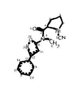 CN(C(=O)C1CCCN1C#N)c1cc(-c2ccccc2)no1